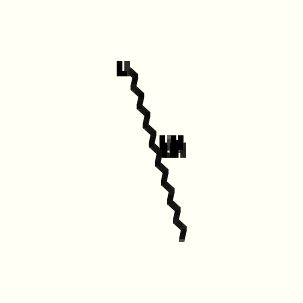 [LiH].[LiH].[Li][CH2]CCCCCCCCCCCCCCCCC